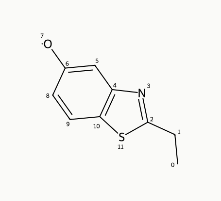 CCc1nc2cc([O])ccc2s1